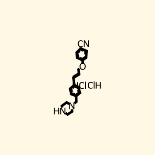 Cl.Cl.N#Cc1ccc(OC/C=C/c2ccc(CN3CCNCC3)cc2)cc1